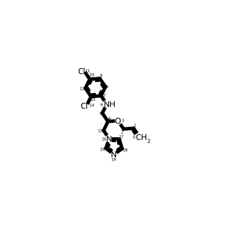 C=CCOC(CNc1ccc(Cl)cc1Cl)Cn1ccnc1